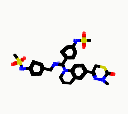 CN1N=C(c2ccc3c(c2)CCCN3/C(=N\Cc2ccc(NS(C)(=O)=O)cc2)c2ccc(NS(C)(=O)=O)cc2)CSC1=O